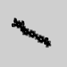 COc1cc(OC)c(-c2cn3ccc(N4CCN(CCN5CCN(C(=O)OC(C)(C)C)CC5)CC4)cc3n2)cc1Cl